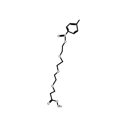 Cc1ccc(S(=O)OCCOCCOCCOCCC(=O)OC(C)(C)C)cc1